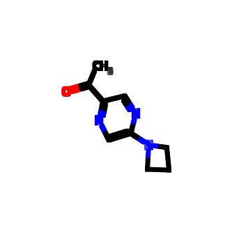 CC(=O)c1cnc(N2CCC2)cn1